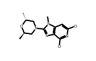 C[C@@H]1CN(c2nc3c(Cl)nc(Cl)cc3n2C)C[C@@H](C)O1